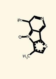 Cc1csc2c1[N+]([O-])=C1C2=CN=CC1C(C)C